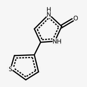 O=c1[nH]cc(-c2ccsc2)[nH]1